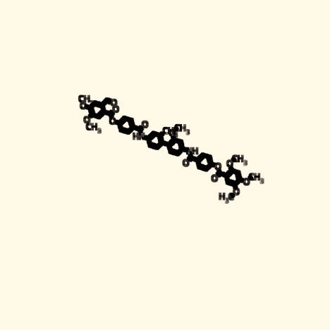 COc1cc(C=O)c(C(=O)Oc2ccc(C(=O)Nc3ccc(-c4ccc(NC(=O)c5ccc(OC(=O)c6cc(OC)c(OC)cc6OC)cc5)cc4OC)c(C)c3)cc2)cc1OC